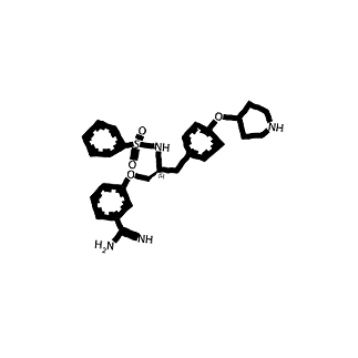 N=C(N)c1cccc(OC[C@H](Cc2ccc(OC3CCNCC3)cc2)NS(=O)(=O)c2ccccc2)c1